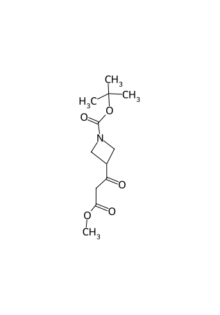 COC(=O)CC(=O)C1CN(C(=O)OC(C)(C)C)C1